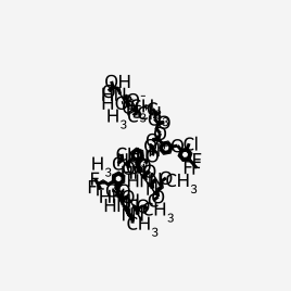 CCOC(=O)COC(=O)c1cc(Oc2ccc(C(F)(F)F)cc2Cl)ccc1[N+](=O)[O-].COc1cc(OC)nc(NC(=O)NS(=O)(=O)c2ncccc2C(=O)N(C)C)n1.COc1nc(C)nc(NC(=O)NS(=O)(=O)c2ccccc2CCC(F)(F)F)n1.C[S+](C)C.O=C(O)CNCP(=O)([O-])O